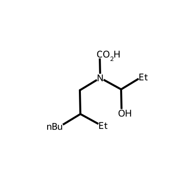 CCCCC(CC)CN(C(=O)O)C(O)CC